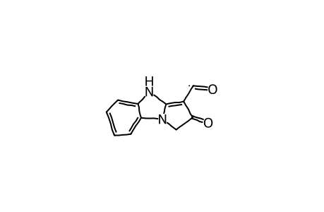 O=[C]C1=C2Nc3ccccc3N2CC1=O